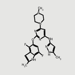 Cc1cc(Nc2cc(N3CCN(C)CC3)nc(Oc3cc(F)c4[nH]c(C)cc4c3F)n2)n[nH]1